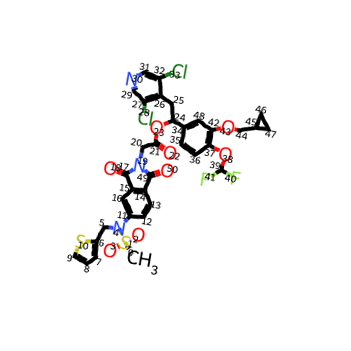 CS(=O)(=O)N(Cc1cccs1)c1ccc2c(c1)C(=O)N(CC(=O)OC(Cc1c(Cl)cncc1Cl)c1ccc(OC(F)F)c(OCC3CC3)c1)C2=O